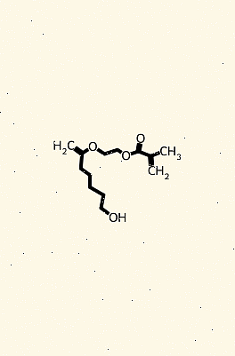 C=C(CCCCCO)OCCOC(=O)C(=C)C